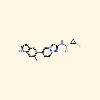 Cc1cc2[nH]ccc2cc1-c1ccc2nc(NC(=O)[C@@H]3C[C@@H]3F)cn2c1